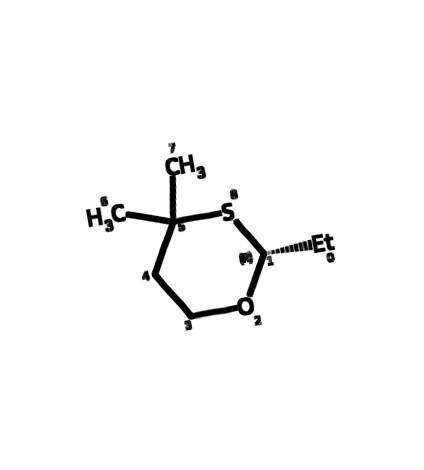 CC[C@@H]1OCCC(C)(C)S1